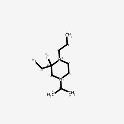 CCCN1CCN(C(C)C)CC1(F)CI